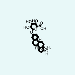 C[C@]12CC[C@@H]3c4ccc(O[C@@H]5O[C@H](C(=O)O)[C@@H](O)[C@H](O)[C@H]5O)cc4CC[C@H]3[C@@H]1CC[C@H]2O